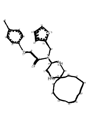 Cc1ccc(OCC(=O)N(Cc2cccs2)C2CNC3(CCCCCCCCC3)CN2)cc1